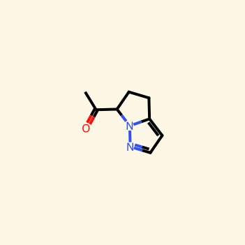 CC(=O)C1CCc2ccnn21